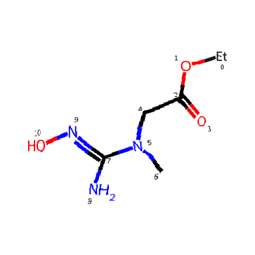 CCOC(=O)CN(C)/C(N)=N/O